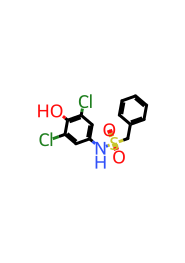 O=S(=O)(Cc1ccccc1)Nc1cc(Cl)c(O)c(Cl)c1